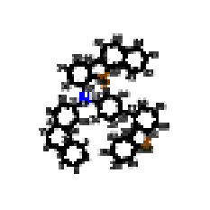 c1ccc2c(c1)ccc1ccc(N(c3ccc(-c4cccc5sc6ccccc6c45)cc3)c3cccc4c3sc3c5ccccc5ccc43)cc12